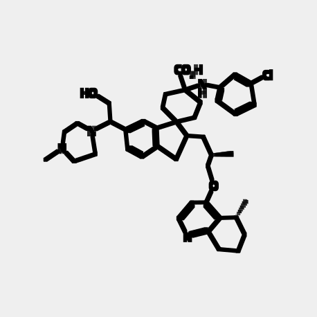 C[C@@H](COc1ccnc2c1[C@H](C)CCC2)CC1Cc2ccc(C(CO)N3CCN(C)CC3)cc2C12CCC(Nc1cccc(Cl)c1)(C(=O)O)CC2